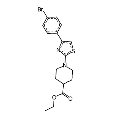 CCOC(=O)C1CCN(c2nc(-c3ccc(Br)cc3)cs2)CC1